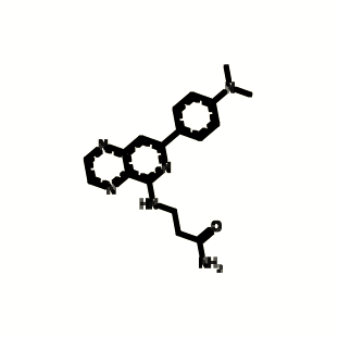 CN(C)c1ccc(-c2cc3nccnc3c(NCCC(N)=O)n2)cc1